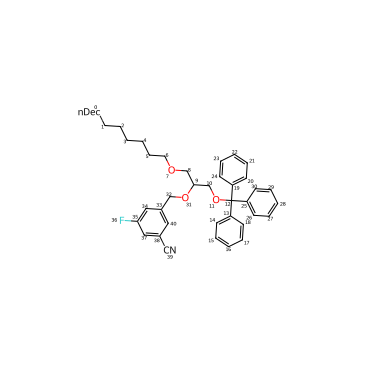 CCCCCCCCCCCCCCCCOCC(COC(c1ccccc1)(c1ccccc1)c1ccccc1)OCc1cc(F)cc(C#N)c1